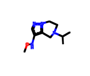 CONc1cnn2c1CN(C(C)C)CC2